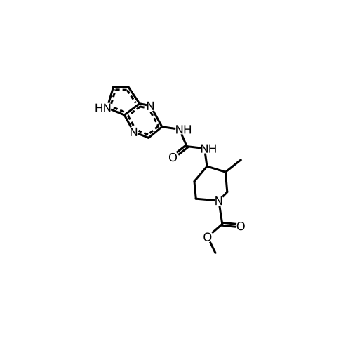 COC(=O)N1CCC(NC(=O)Nc2cnc3[nH]ccc3n2)C(C)C1